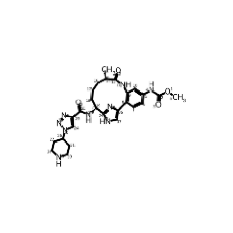 COC(=O)Nc1ccc2c(c1)NC(=O)[C@H](C)CCC[C@H](NC(=O)c1cn(C3CCNCC3)nn1)c1nc-2c[nH]1